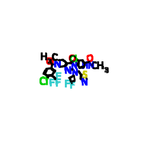 CNC(=O)c1ccc(-n2c(N(Cc3cncs3)C3CC(F)(F)C3)nc3c(c2=O)CC(C)N(C(=O)c2ccc(Cl)c(C(F)(F)F)c2)C3)c(Cl)c1